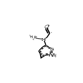 NN([C]=O)c1cc[nH]n1